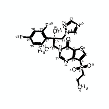 CCCS(=O)(=O)c1csc2c(=O)n([C@H](C)[C@](O)(Cn3cncn3)c3ccc(F)cc3F)cnc12